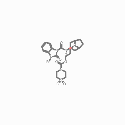 CC(C)n1c(=O)n(C(=O)NC2CC3CCC(C2)N3CCCOC(=O)N2CCS(=O)(=O)CC2)c2ccccc21